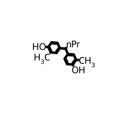 CCCC(c1ccc(O)c(C)c1)c1ccc(O)c(C)c1